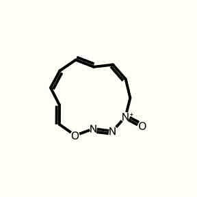 O=[N+]1C\C=C/C=C/C=C\C=C\O/N=N/1